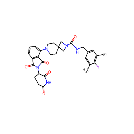 Cc1cc(CNC(=O)N2CC3(CCN(c4cccc5c4C(=O)N(C4CCC(=O)NC4=O)C5=O)CC3)C2)cc(C(C)C)c1I